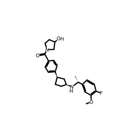 COc1cc([C@@H](C)N[C@H]2CC[C@@H](c3ccc(C(=O)N4CCC(O)C4)cc3)C2)ccc1F